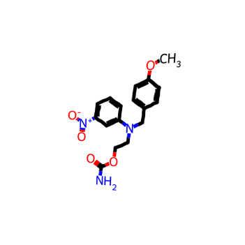 COc1ccc(CN(CCOC(N)=O)c2cccc([N+](=O)[O-])c2)cc1